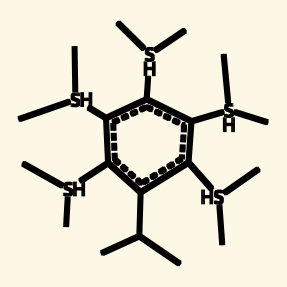 CC(C)c1c([SH](C)C)c([SH](C)C)c([SH](C)C)c([SH](C)C)c1[SH](C)C